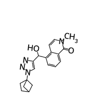 Cn1ccc2c(C(O)c3cn(C45CCC(C4)C5)nn3)cccc2c1=O